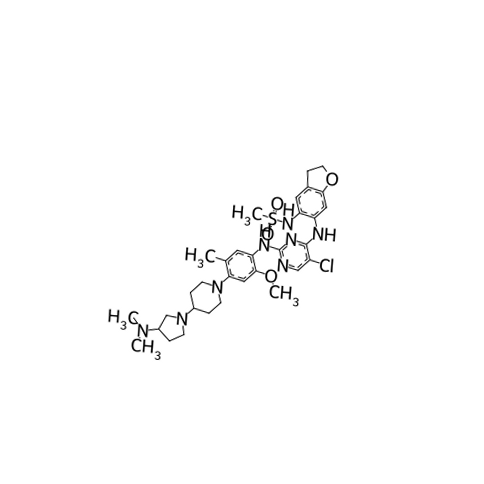 COc1cc(N2CCC(N3CCC(N(C)C)C3)CC2)c(C)cc1Nc1ncc(Cl)c(Nc2cc3c(cc2NS(C)(=O)=O)CCO3)n1